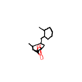 CC1CCCCC1CC1CC23OC2(CC1C)O3